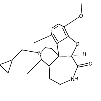 COc1ccc(C)c2c1O[C@H]1C(=O)NCCC3C(C)N(CC4CC4)CCC231